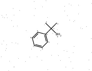 BC(C)(C)c1ccccc1